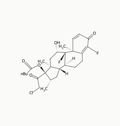 CCCCC(=O)O[C@]1(C(=O)CCl)[C@@H](C)C[C@H]2[C@@H]3CCC4=C(F)C(=O)C=C[C@]4(C)[C@@]3(F)[C@@H](O)C[C@@]21C